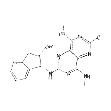 CNc1nc(N[C@@H]2c3ccccc3C[C@@H]2O)nc2c(NC)nc(Cl)nc12